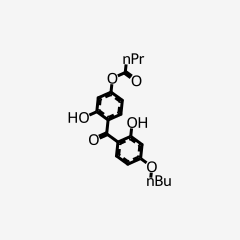 CCCCOc1ccc(C(=O)c2ccc(OC(=O)CCC)cc2O)c(O)c1